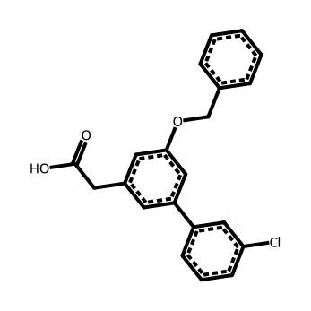 O=C(O)Cc1cc(OCc2ccccc2)cc(-c2cccc(Cl)c2)c1